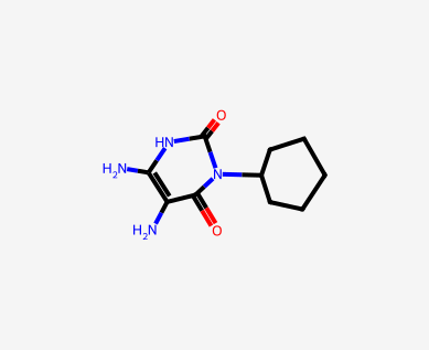 Nc1[nH]c(=O)n(C2CCCCC2)c(=O)c1N